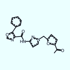 CC(=O)c1ccc(Cn2ccc(NC(=O)c3ncoc3-c3ccccc3)n2)o1